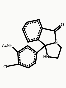 CC(=O)Nc1cc(C23NCCN2C(=O)c2ccccc23)ccc1Cl